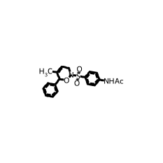 CC(=O)Nc1ccc(S(=O)(=O)N2CC=C(C)C(c3ccccc3)O2)cc1